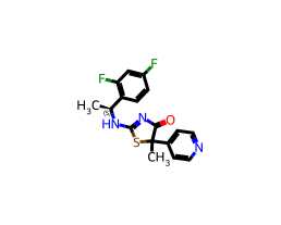 C[C@H](NC1=NC(=O)C(C)(c2ccncc2)S1)c1ccc(F)cc1F